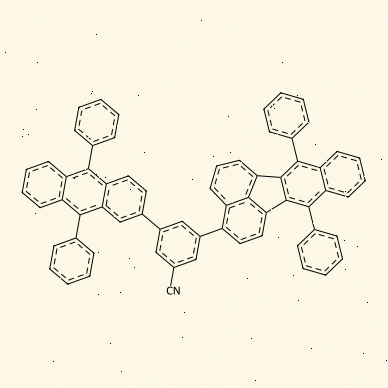 N#Cc1cc(-c2ccc3c(-c4ccccc4)c4ccccc4c(-c4ccccc4)c3c2)cc(-c2ccc3c4c(cccc24)-c2c-3c(-c3ccccc3)c3ccccc3c2-c2ccccc2)c1